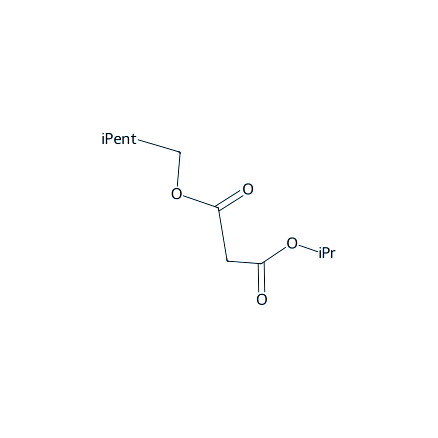 CCCC(C)COC(=O)CC(=O)OC(C)C